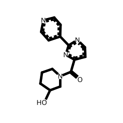 O=C(c1ccnc(-c2ccncc2)n1)N1CCCC(O)C1